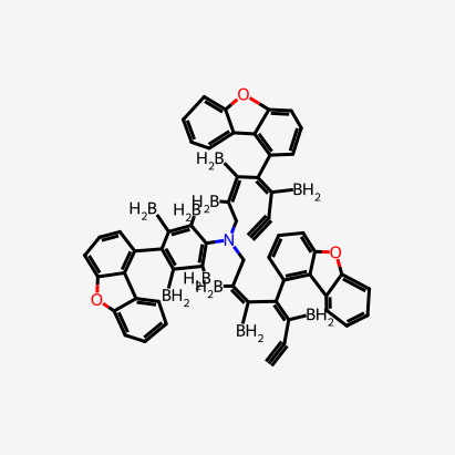 B/C(CN(C/C(B)=C(B)\C(=C(\B)C#C)c1cccc2oc3ccccc3c12)c1c(B)c(B)c(-c2cccc3oc4ccccc4c23)c(B)c1B)=C(B)/C(=C(/B)C#C)c1cccc2oc3ccccc3c12